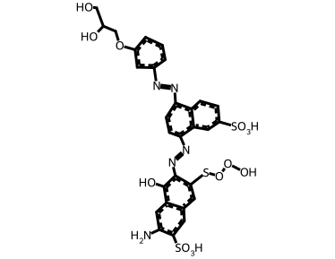 Nc1cc2c(O)c(/N=N/c3ccc(/N=N/c4cccc(OCC(O)CO)c4)c4ccc(S(=O)(=O)O)cc34)c(SOOO)cc2cc1S(=O)(=O)O